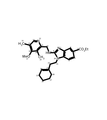 CCOC(=O)c1ccc2c(c1)nc(NCc1ncc(C)c(OC)c1C)n2CCC1=CCCCC1